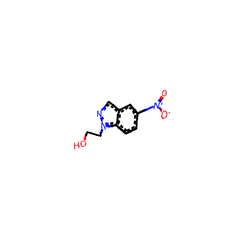 O=[N+]([O-])c1ccc2c(cnn2CCO)c1